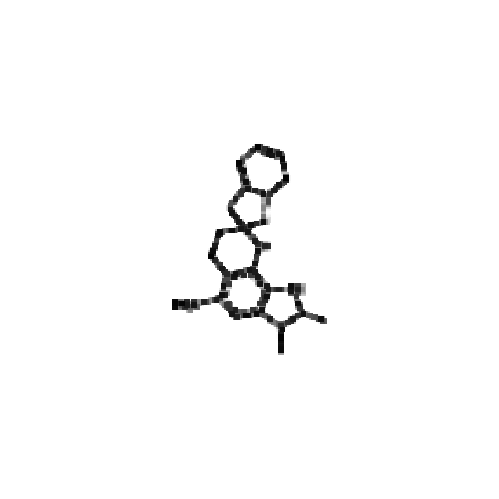 CC1Nc2c(cc(C(=O)O)c3c2NC2(C=C4CC=CC=C4C2)CC3)N1C